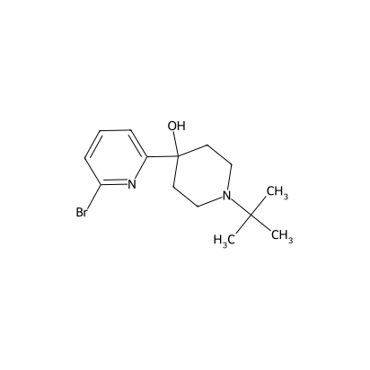 CC(C)(C)N1CCC(O)(c2cccc(Br)n2)CC1